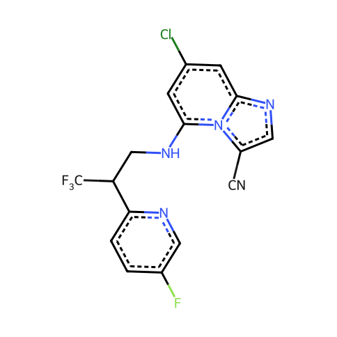 N#Cc1cnc2cc(Cl)cc(NCC(c3ccc(F)cn3)C(F)(F)F)n12